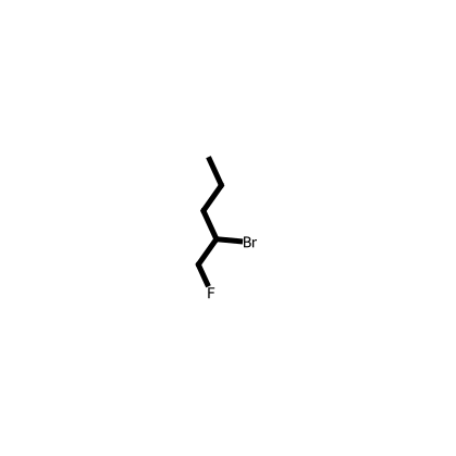 CCCC(Br)CF